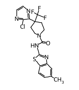 Cc1ccc2sc(NC(=O)N3CCC(c4nccnc4Cl)(C(F)(F)F)CC3)nc2c1